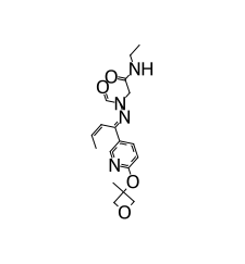 C/C=C\C(=N/N(C=O)CC(=O)NCC)c1ccc(OC2(C)COC2)nc1